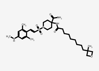 CNc1cc(C)c(C=CS(=O)(=O)N2CCC(NC(=O)CCCCCCCCC3(C)COC3)(C(N)=O)CC2)c(C)c1